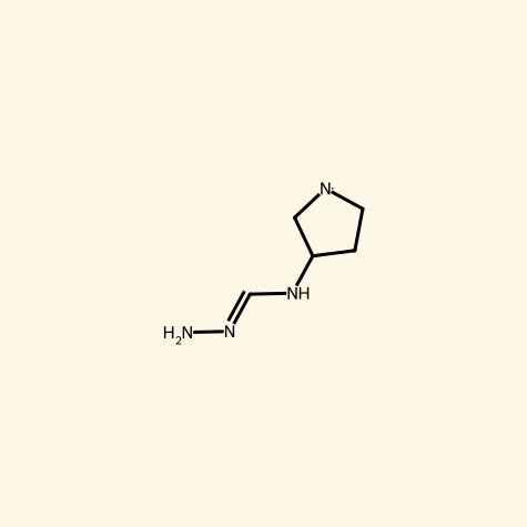 NN=CNC1CC[N]C1